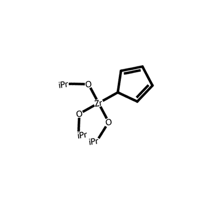 CC(C)[O][Zr]([O]C(C)C)([O]C(C)C)[CH]1C=CC=C1